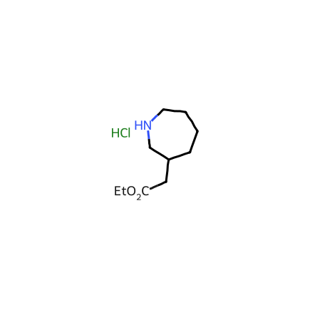 CCOC(=O)CC1CCCCNC1.Cl